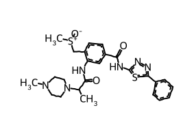 CC(C(=O)Nc1cc(C(=O)Nc2nnc(-c3ccccc3)s2)ccc1C[S+](C)[O-])N1CCN(C)CC1